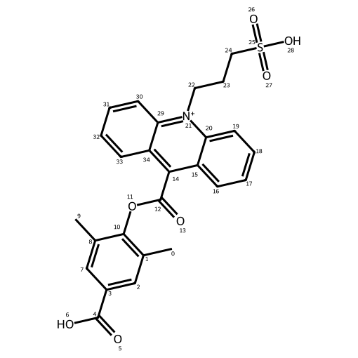 Cc1cc(C(=O)O)cc(C)c1OC(=O)c1c2ccccc2[n+](CCCS(=O)(=O)O)c2ccccc12